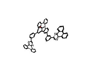 c1ccc(-c2ccccc2-n2c3ccc(-c4cccc(-c5cnc6c7ccccc7c7ccccc7c6n5)c4)cc3c3cc(-c4cccc(-c5cnc6c7ccccc7c7ccccc7c6n5)c4)ccc32)cc1